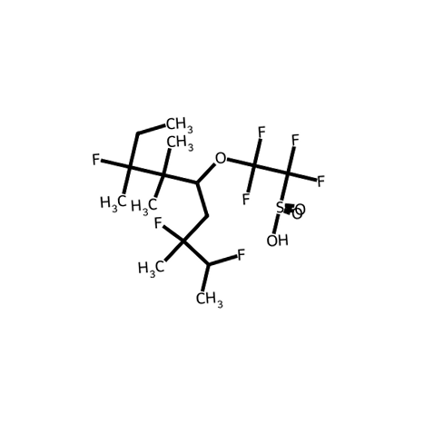 CCC(C)(F)C(C)(C)C(CC(C)(F)C(C)F)OC(F)(F)C(F)(F)S(=O)(=O)O